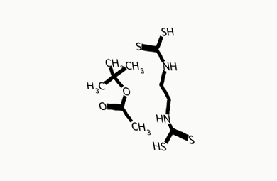 CC(=O)OC(C)(C)C.S=C(S)NCCNC(=S)S